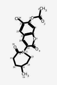 CC(=O)Oc1cc2oc(=O)c(N3CCC(C)CCC3=O)cc2cc1Cl